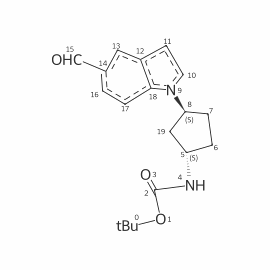 CC(C)(C)OC(=O)N[C@H]1CC[C@H](n2ccc3cc(C=O)ccc32)C1